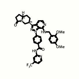 COc1ccc(CNc2nccc3c([C@@H]4CC[C@H]5CCC(=O)N5C4)nn(-c4ccc(C(=O)Nc5cc(C(F)(F)F)ccn5)cc4)c23)c(OC)c1